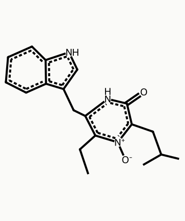 CCc1c(Cc2c[nH]c3ccccc23)[nH]c(=O)c(CC(C)C)[n+]1[O-]